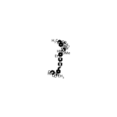 CCc1cc(Nc2ncc(Br)c(Nc3ccc4nc(C)ccc4c3P(C)(C)=O)n2)c(OC)cc1N1CCC(N2CCN(CCc3ccc4c(c3)n(C3CCC(=O)NC3=O)c(=O)n4C)CC2)CC1